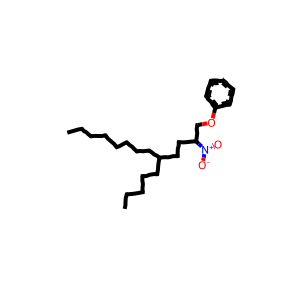 CCCCCCCCC(CCCCC)CCC(COc1cc[c]cc1)[N+](=O)[O-]